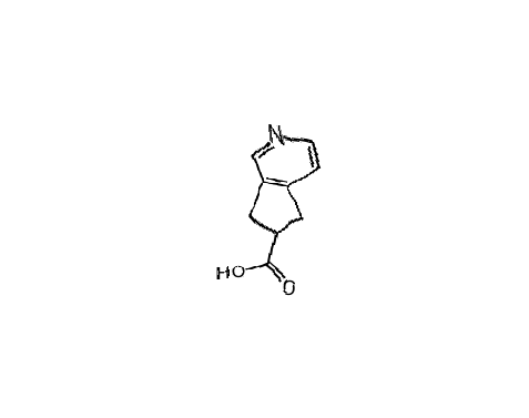 O=C(O)C1Cc2ccncc2C1